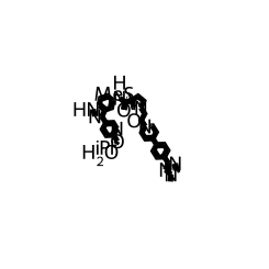 CS[C@@]1(C(=O)Nc2ccc3[nH]nc(-c4ccc(OC(C)C)nc4)c3c2)CCN(CC(=O)N2CC=C(c3ccc(-c4ncn(C)n4)cc3)CC2)C1.O